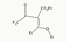 CCOC(=O)C(C(=O)C(F)(F)F)=C(CC)OCC